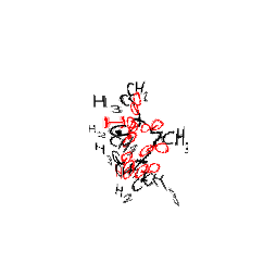 C=C(C)C(=O)OCC(CO)(COC(=O)CCC(C)CC(=O)OCC(CO)(COC(=O)C(=C)C)COC(=O)C(=C)C)COC(=O)C(=C)C